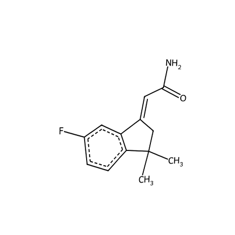 CC1(C)CC(=CC(N)=O)c2cc(F)ccc21